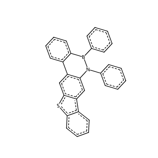 c1ccc(B2c3ccccc3-c3cc4sc5ccccc5c4cc3N2c2ccccc2)cc1